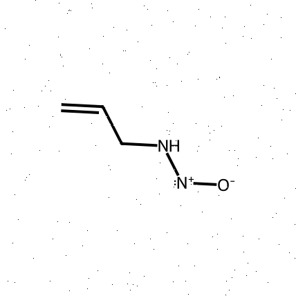 C=CCN[N+][O-]